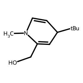 CN1C=CC(C(C)(C)C)C=C1CO